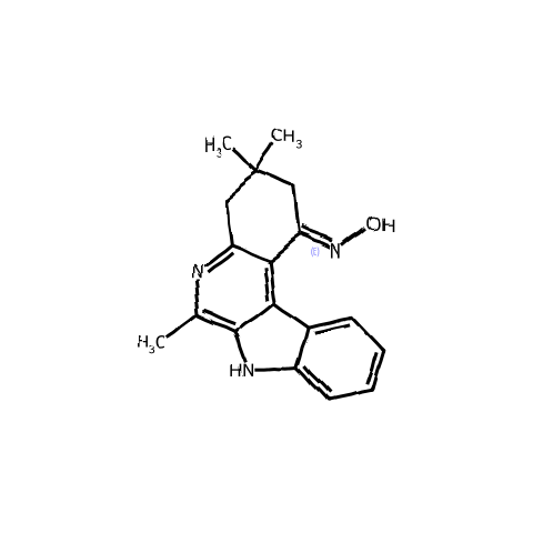 Cc1nc2c(c3c1[nH]c1ccccc13)/C(=N/O)CC(C)(C)C2